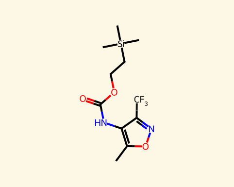 Cc1onc(C(F)(F)F)c1NC(=O)OCC[Si](C)(C)C